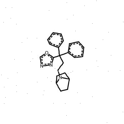 c1ccc(C(CCN2C3CCC2CC3)(c2ccccc2)c2nnco2)cc1